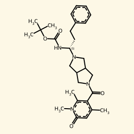 Cc1cc(=O)n(C)c(C)c1C(=O)N1CC2CN([C@@H](CCc3ccccc3)NC(=O)OC(C)(C)C)CC2C1